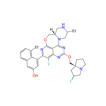 CCc1cccc2cc(O)cc(-c3nc4c5c(nc(OC[C@@]67CCCN6C[C@@H](F)C7)nc5c3F)N3CC(CC)NC[C@H]3CO4)c12